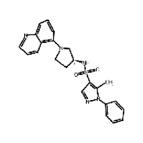 Cc1c(S(=O)(=O)N[C@H]2CCN(c3cccc4ncccc34)C2)cnn1-c1ccccc1